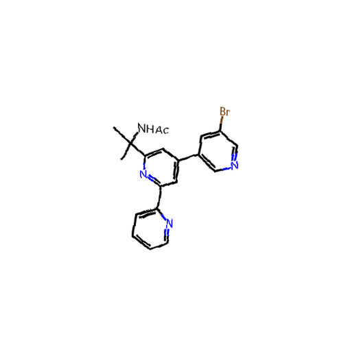 CC(=O)NC(C)(C)c1cc(-c2cncc(Br)c2)cc(-c2ccccn2)n1